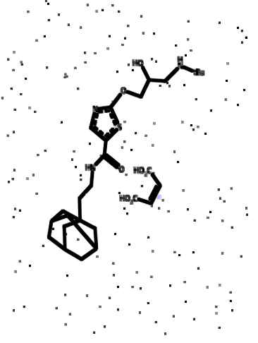 CC(C)(C)NCC(O)COc1ncc(C(=O)NCCC23CC4CC(CC(C4)C2)C3)s1.O=C(O)/C=C\C(=O)O